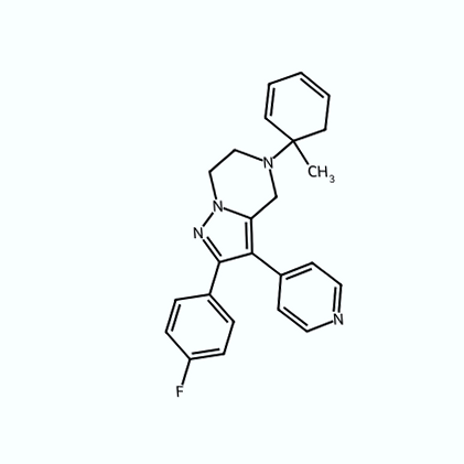 CC1(N2CCn3nc(-c4ccc(F)cc4)c(-c4ccncc4)c3C2)C=CC=CC1